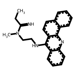 CCC(=N)N(C)CCNc1c2ccccc2nc2c1ccc1ccccc12